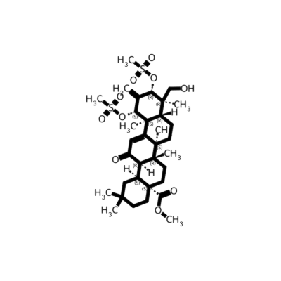 C=C1[C@@H](OS(C)(=O)=O)[C@]2(C)C3=CC(=O)[C@@H]4[C@@H]5CC(C)(C)CC[C@]5(C(=O)OC)CC[C@@]4(C)[C@]3(C)CC[C@H]2[C@](C)(CO)[C@H]1OS(C)(=O)=O